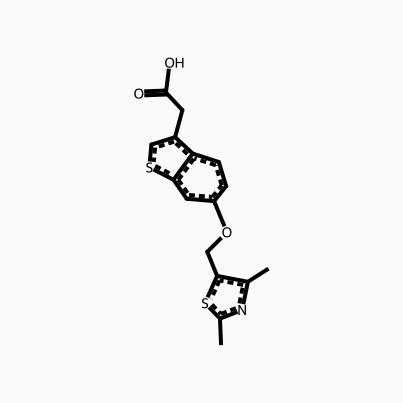 Cc1nc(C)c(COc2ccc3c(CC(=O)O)csc3c2)s1